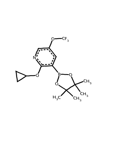 CC1(C)OB(c2cc(OC(F)(F)F)cnc2OC2CC2)OC1(C)C